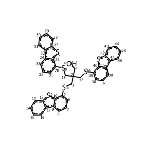 OCC(CSc1cccc2c1sc1ccccc12)(CSc1cccc2c1sc1ccccc12)CSc1cccc2c1sc1ccccc12